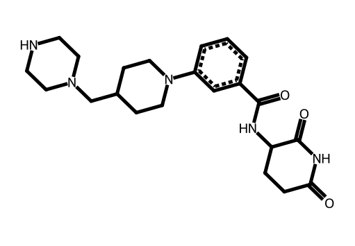 O=C1CCC(NC(=O)c2cccc(N3CCC(CN4CCNCC4)CC3)c2)C(=O)N1